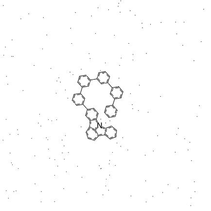 c1ccc(-c2cccc(-c3cccc(-c4cccc(-c5cccc(-c6ccc7c(c6)c6cccc8c9ccccc9n7c86)c5)c4)c3)c2)cc1